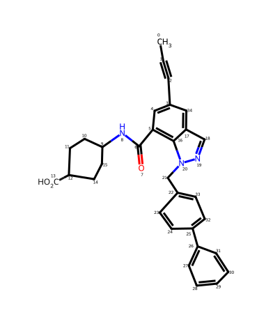 CC#Cc1cc(C(=O)NC2CCC(C(=O)O)CC2)c2c(cnn2Cc2ccc(-c3ccccc3)cc2)c1